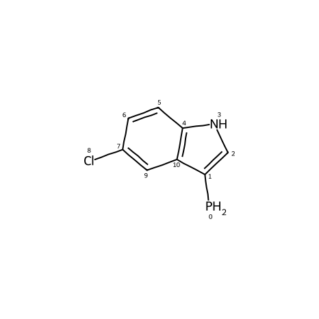 Pc1c[nH]c2ccc(Cl)cc12